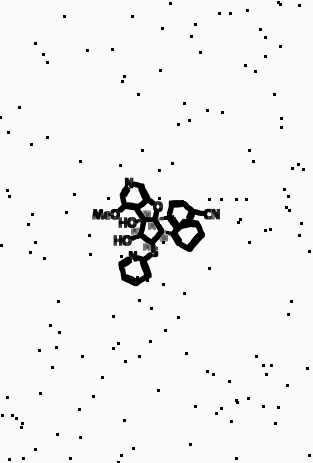 COc1cncc2c1[C@]1(O)[C@H](O)[C@H](Sc3ccccn3)[C@@H](c3ccccc3)[C@]1(c1ccc(C#N)cc1)O2